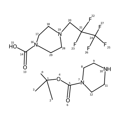 CC(C)(C)OC(=O)N1CCNCC1.O=C(O)N1CCN(CC(F)(F)C(F)(F)F)CC1